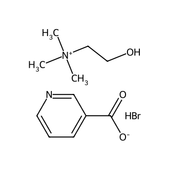 Br.C[N+](C)(C)CCO.O=C([O-])c1cccnc1